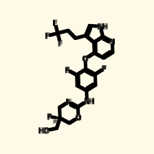 OC[C@]1(F)CN=C(Nc2cc(F)c(Oc3ccnc4[nH]cc(CCC(F)(F)F)c34)c(F)c2)OC1